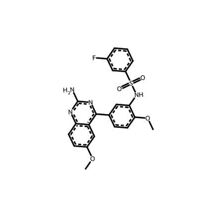 COc1ccc2nc(N)nc(-c3ccc(OC)c(NS(=O)(=O)c4cccc(F)c4)c3)c2c1